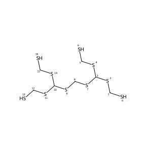 SCSC(SCS)SCSC(SCS)SCS